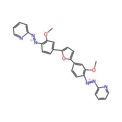 COc1cc(-c2ccc(-c3ccc(/N=N/c4ccccn4)c(OC)c3)o2)ccc1/N=N/c1ccccn1